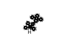 c1ccc(C2=C(c3ccccc3)N(c3ccc(-c4ccc5c(-c6ccccc6)c6ccccc6c(-c6ccccc6)c5c4)cc3)C(c3ccccc3)N2)cc1